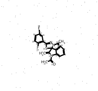 C=C1N(C(C)=O)c2ccccc2C12SC(c1cc(F)ccc1F)=NN2C(C)=O